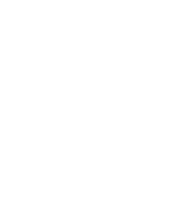 CC(O)COC(C)CO